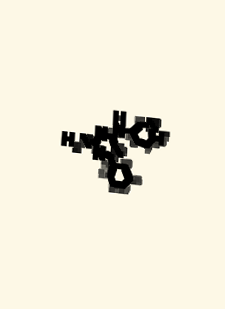 Nc1nc(Nc2ccc(F)nc2)nc(-c2ccccc2)n1